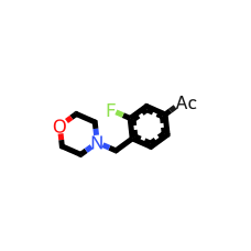 CC(=O)c1ccc(CN2CCOCC2)c(F)c1